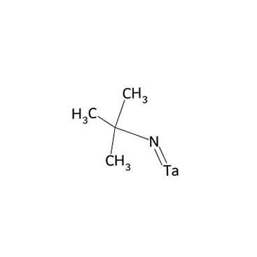 CC(C)(C)[N]=[Ta]